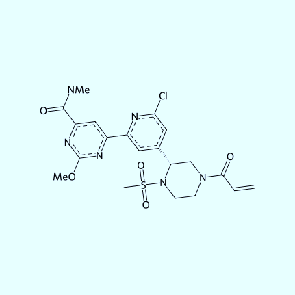 C=CC(=O)N1CCN(S(C)(=O)=O)[C@H](c2cc(Cl)nc(-c3cc(C(=O)NC)nc(OC)n3)c2)C1